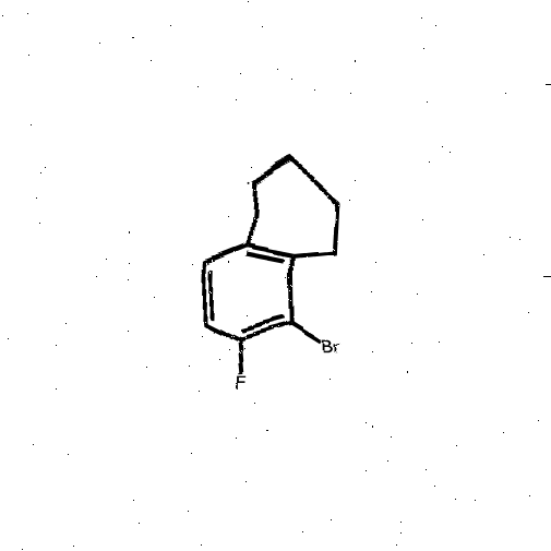 Fc1ccc2c(c1Br)CCC[CH]2